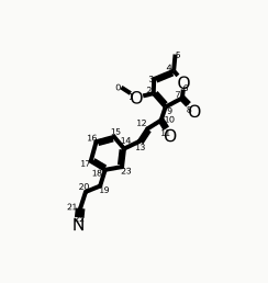 COc1cc(C)oc(=O)c1C(=O)/C=C/c1cccc(CCC#N)c1